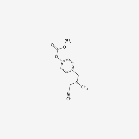 C#CCN(C)Cc1ccc(OC(=O)ON)cc1